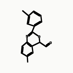 Cc1cccc(C2=Nc3ccc(C)cc3C(C=O)O2)c1